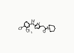 O=C(Cc1csc(Nc2ccc(Cl)c(C(F)(F)F)c2)n1)N1CCCCC1